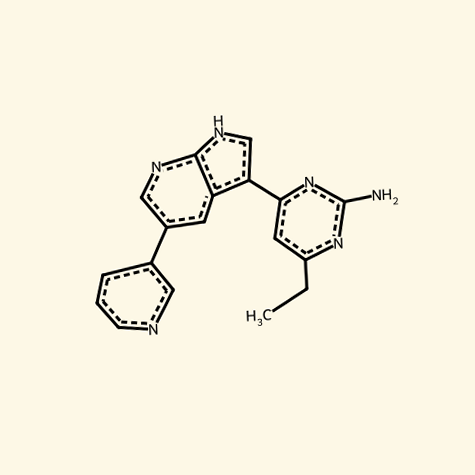 CCc1cc(-c2c[nH]c3ncc(-c4cccnc4)cc23)nc(N)n1